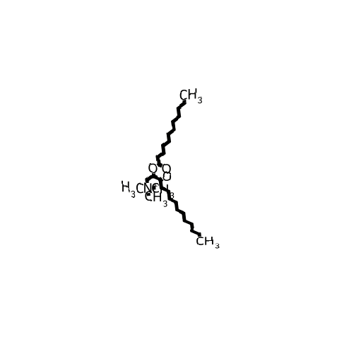 CCCCCCCCCCCC(=O)OC(C[N+](C)(C)C)C(=O)CCCCCCCCCCC